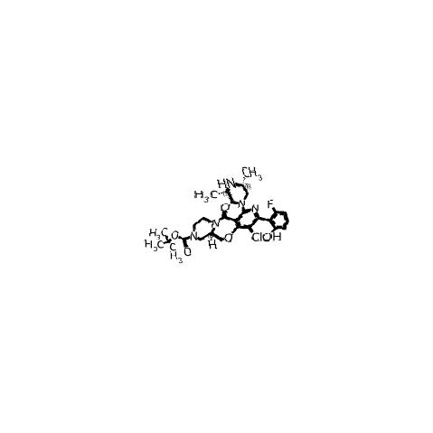 C[C@@H]1CN(c2nc(-c3c(O)cccc3F)c(Cl)c3c2C(=O)N2CCN(C(=O)OC(C)(C)C)C[C@@H]2CO3)C[C@H](C)N1